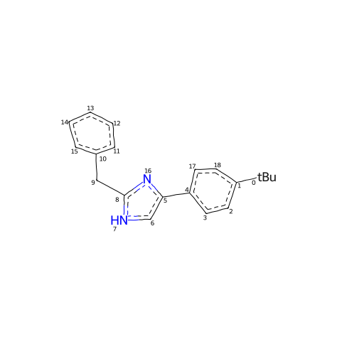 CC(C)(C)c1ccc(-c2c[nH]c(Cc3ccccc3)n2)cc1